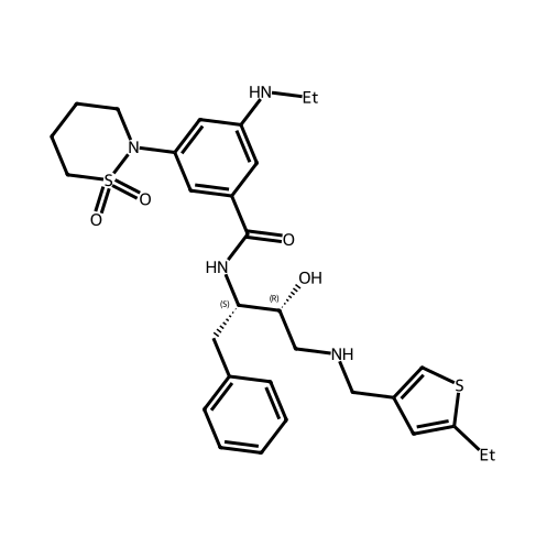 CCNc1cc(C(=O)N[C@@H](Cc2ccccc2)[C@H](O)CNCc2csc(CC)c2)cc(N2CCCCS2(=O)=O)c1